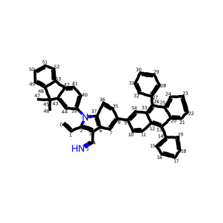 C=Cc1c(C=N)c2cc(-c3ccc4c(-c5ccccc5)c5ccccc5c(-c5ccccc5)c4c3)ccc2n1-c1ccc2c(c1)C(C)(C)c1ccccc1-2